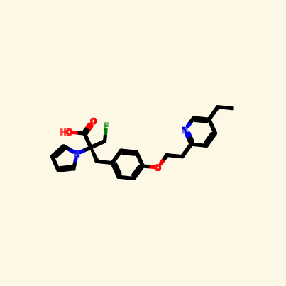 CCc1ccc(CCOc2ccc(C[C@](CF)(C(=O)O)n3cccc3)cc2)nc1